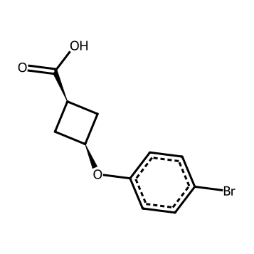 O=C(O)[C@H]1C[C@@H](Oc2ccc(Br)cc2)C1